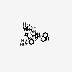 C#C[C@H]1CC[C@H](Cn2c(N3CCC[C@@H]4CCCC[C@H]43)nc3nc(C(=N)NC(=O)O)nc(N[C@H](C)C4CCC4)c32)CC1